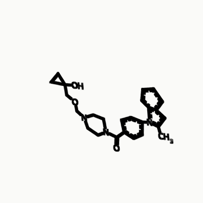 Cc1cc2ccccc2n1-c1ccc(C(=O)N2CCN(COCC3(O)CC3)CC2)cc1